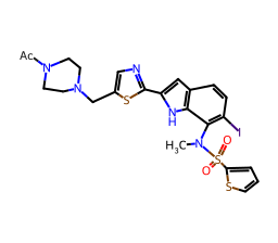 CC(=O)N1CCN(Cc2cnc(-c3cc4ccc(I)c(N(C)S(=O)(=O)c5cccs5)c4[nH]3)s2)CC1